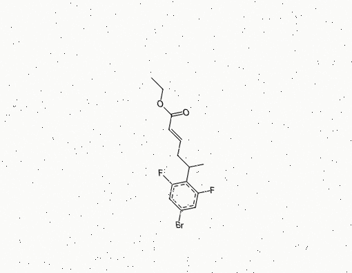 CCOC(=O)/C=C/CC(C)c1c(F)cc(Br)cc1F